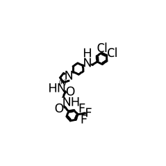 O=C(CNC(=O)c1cccc(C(F)(F)F)c1)N[C@@H]1CCN(C2CCC(NCc3ccc(Cl)c(Cl)c3)CC2)C1